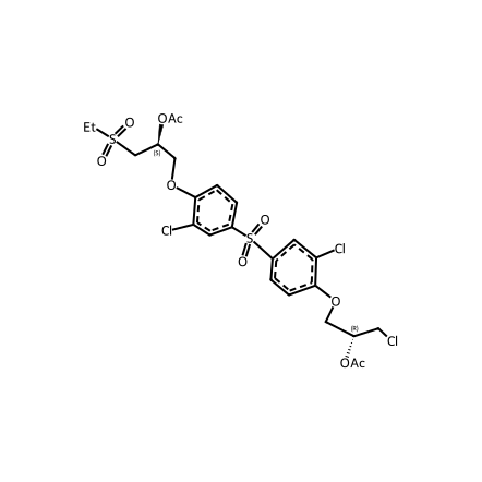 CCS(=O)(=O)C[C@H](COc1ccc(S(=O)(=O)c2ccc(OC[C@H](CCl)OC(C)=O)c(Cl)c2)cc1Cl)OC(C)=O